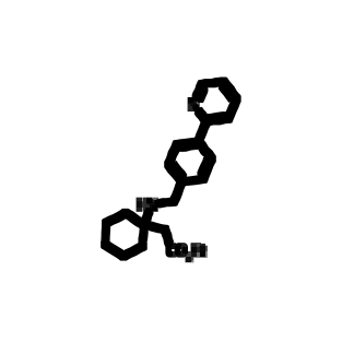 CCOC(=O)CC1(NCc2ccc(-c3ccccn3)cc2)CCCCC1